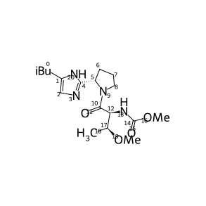 CCC(C)c1cnc([C@@H]2CCCN2C(=O)[C@@H](NC(=O)OC)[C@H](C)OC)[nH]1